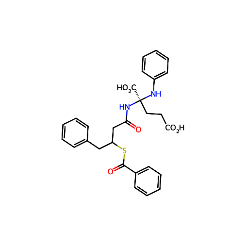 O=C(O)CC[C@@](NC(=O)CC(Cc1ccccc1)SC(=O)c1ccccc1)(Nc1ccccc1)C(=O)O